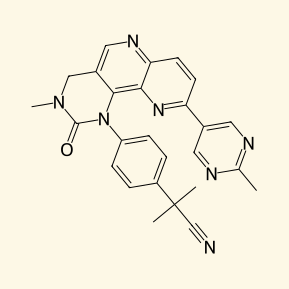 Cc1ncc(-c2ccc3ncc4c(c3n2)N(c2ccc(C(C)(C)C#N)cc2)C(=O)N(C)C4)cn1